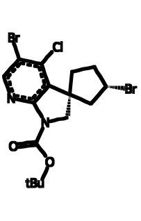 CC(C)(C)OC(=O)N1C[C@@]2(CC[C@H](Br)C2)c2c1ncc(Br)c2Cl